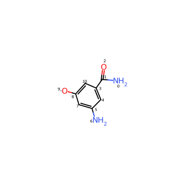 NC(=O)c1cc(N)cc([O])c1